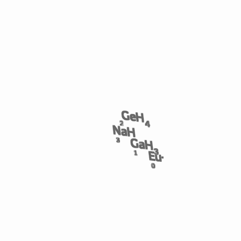 [Eu].[GaH3].[GeH4].[NaH]